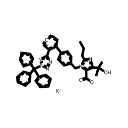 CCCc1nc(C(C)(C)O)c(C(=O)[O-])n1Cc1ccc(-c2ccccc2-c2nnn(C(c3ccccc3)(c3ccccc3)c3ccccc3)n2)cc1.[K+]